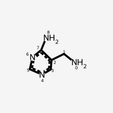 NCc1cncnc1N